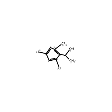 [CH2]C(O)c1c(Cl)cc(Cl)cc1C(F)(F)F